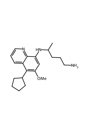 COc1cc(NC(C)CCCN)c2ncccc2c1C1CCCC1